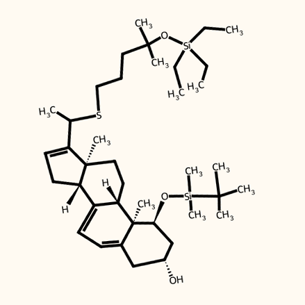 CC[Si](CC)(CC)OC(C)(C)CCCSC(C)C1=CC[C@H]2C3=CC=C4C[C@@H](O)C[C@H](O[Si](C)(C)C(C)(C)C)[C@]4(C)[C@H]3CC[C@]12C